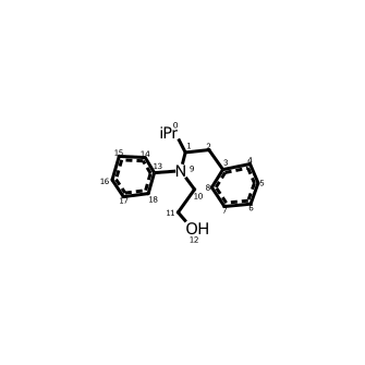 CC(C)C(Cc1ccccc1)N(CCO)c1ccccc1